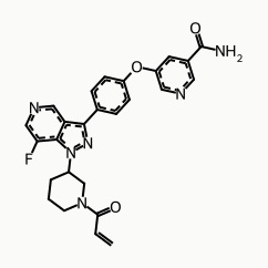 C=CC(=O)N1CCCC(n2nc(-c3ccc(Oc4cncc(C(N)=O)c4)cc3)c3cncc(F)c32)C1